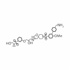 COc1ccc(S(=O)(=O)N2CCC3(CC2)C[C@H](NC[C@H](O)COc2cccc(S(=O)(=O)C4(CO)CC4)c2)CO3)cc1-c1ccc(CN)cc1